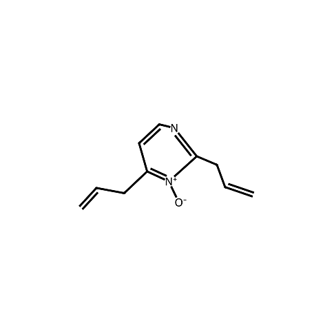 C=CCc1ccnc(CC=C)[n+]1[O-]